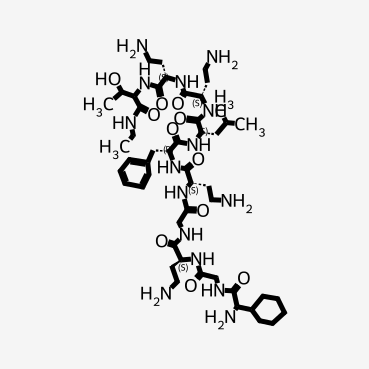 CCNC(=O)C(NC(=O)[C@H](CCN)NC(=O)[C@H](CCN)NC(=O)[C@H](CC(C)C)NC(=O)[C@@H](Cc1ccccc1)NC(=O)[C@H](CCN)NC(=O)CNC(=O)[C@H](CCN)NC(=O)CNC(=O)C(N)C1CCCCC1)C(C)O